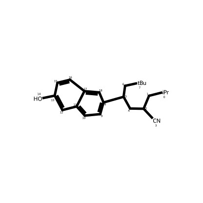 CC(C)CC(C#N)CC(CC(C)(C)C)c1ccc2cc(O)ccc2c1